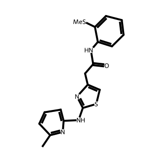 CSc1ccccc1NC(=O)Cc1csc(Nc2cccc(C)n2)n1